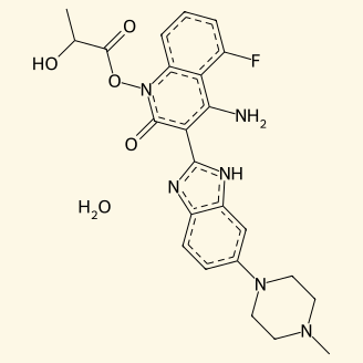 CC(O)C(=O)On1c(=O)c(-c2nc3ccc(N4CCN(C)CC4)cc3[nH]2)c(N)c2c(F)cccc21.O